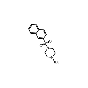 CC(C)(C)N1CCN(S(=O)(=O)c2ccc3ccccc3c2)CC1